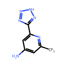 Nc1cc(-c2nn[nH]n2)nc(C(F)(F)F)c1